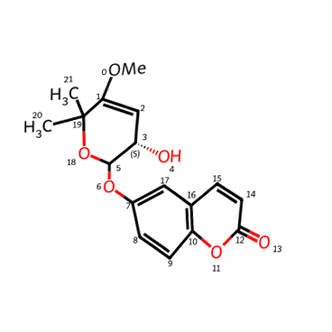 COC1=C[C@H](O)C(Oc2ccc3oc(=O)ccc3c2)OC1(C)C